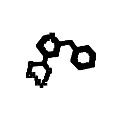 COC(OC)c1ccnc(Cc2ccccc2)c1